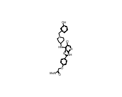 CNC(=O)COc1ccc(-c2nc3c(NC4CCN(Cc5cccc(O)c5)CC4)c(Cl)cnc3[nH]2)cc1